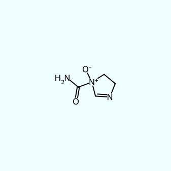 NC(=O)[N+]1([O-])C=NCC1